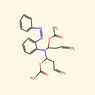 C=CCC(OC(C)=O)N(c1ccccc1N=Nc1ccccc1)C(CC=C)OC(C)=O